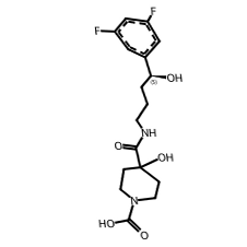 O=C(O)N1CCC(O)(C(=O)NCCC[C@H](O)c2cc(F)cc(F)c2)CC1